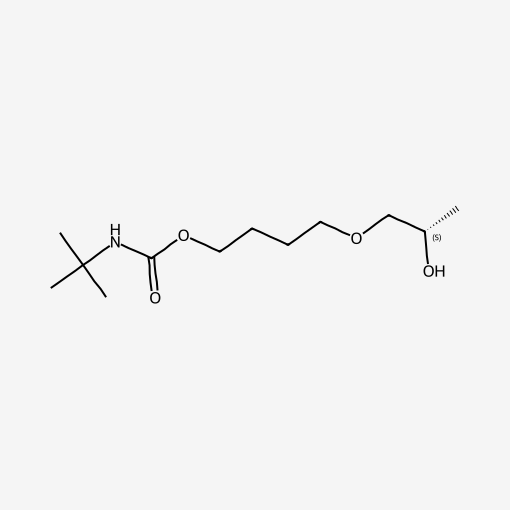 C[C@H](O)COCCCCOC(=O)NC(C)(C)C